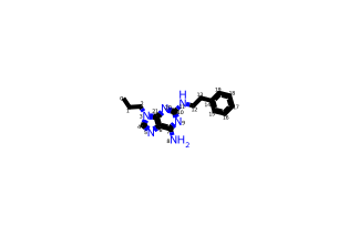 CCCn1cnc2c(N)nc(NCCc3ccccc3)nc21